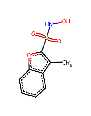 Cc1c(S(=O)(=O)NO)oc2ccccc12